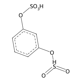 O=[SH](=O)Oc1cccc(OS(=O)(=O)O)c1